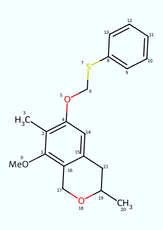 COc1c(C)c(OCSc2ccccc2)cc2c1COC(C)C2